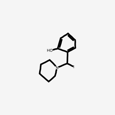 Oc1ccccc1C(I)N1CCCCC1